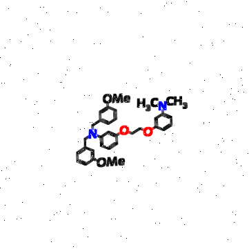 COc1cccc(CN(Cc2cccc(OC)c2)c2cccc(OCCOc3cccc(N(C)C)c3)c2)c1